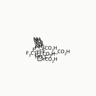 N.N.N.N.N.O=C(O)C(F)(F)C(F)(F)C(F)(F)C(F)(F)C(F)(F)F.O=C(O)CCCCC(=O)O.O=C(O)c1ccccc1C(=O)O